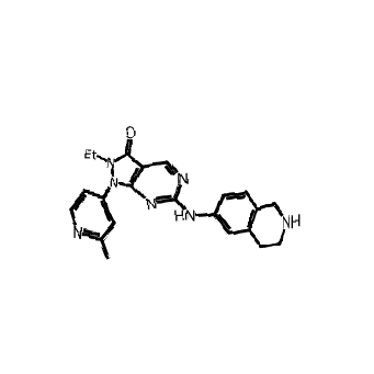 CCn1c(=O)c2cnc(Nc3ccc4c(c3)CCNC4)nc2n1-c1ccnc(C)c1